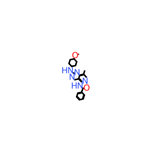 CO[C@H]1CC[C@H](Nc2ncc3c(NC(=O)c4ccccc4)ncc(C)c3n2)CC1